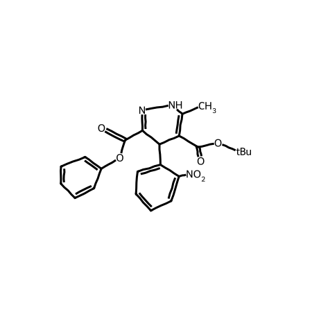 CC1=C(C(=O)OC(C)(C)C)C(c2ccccc2[N+](=O)[O-])C(C(=O)Oc2ccccc2)=NN1